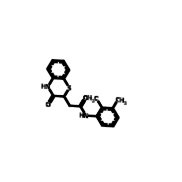 Cc1cccc(NC(=O)CC2Sc3ccccc3NC2=O)c1C